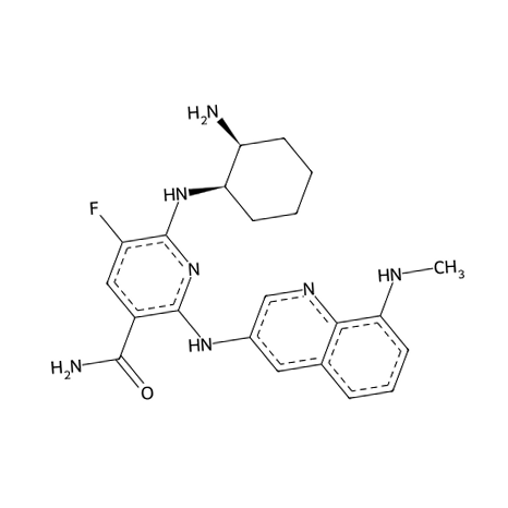 CNc1cccc2cc(Nc3nc(N[C@@H]4CCCC[C@@H]4N)c(F)cc3C(N)=O)cnc12